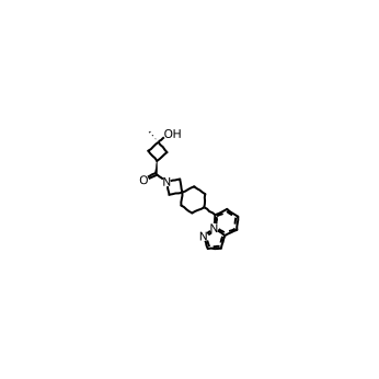 C[C@]1(O)C[C@@H](C(=O)N2CC3(CCC(c4cccc5ccnn45)CC3)C2)C1